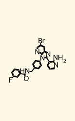 Nc1ncccc1-c1nc2cc(Br)cnc2n1-c1ccc(CNC(=O)c2cccc(F)c2)cc1